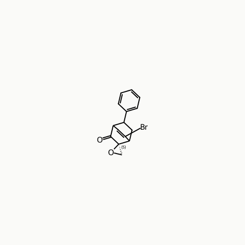 O=C1C2C=C(Br)C(CC2c2ccccc2)[C@]12CO2